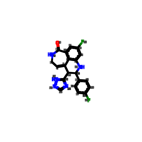 O=C1NCC=C2c3c(cc(F)cc31)NC(c1ccc(F)cc1)C2c1ncn[nH]1